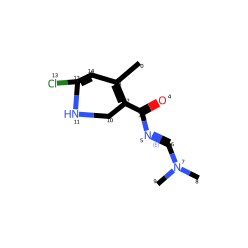 CC1=C(C(=O)/N=C/N(C)C)CNC(Cl)=C1